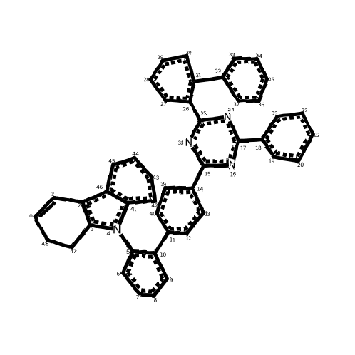 C1=Cc2c(n(-c3ccccc3-c3ccc(-c4nc(-c5ccccc5)nc(-c5ccccc5-c5ccccc5)n4)cc3)c3ccccc23)CC1